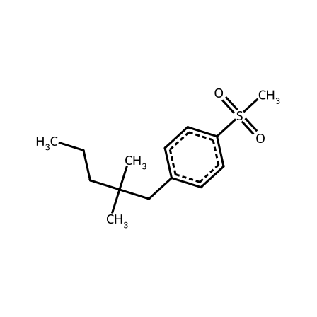 CCCC(C)(C)Cc1ccc(S(C)(=O)=O)cc1